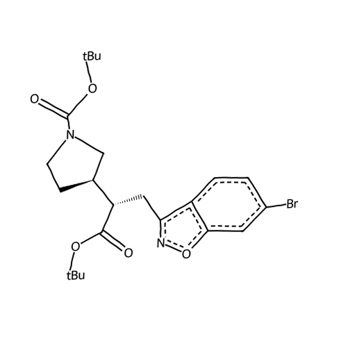 CC(C)(C)OC(=O)[C@@H](Cc1noc2cc(Br)ccc12)[C@H]1CCN(C(=O)OC(C)(C)C)C1